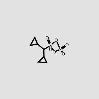 O=S1(=O)O[SH](=O)(C(C2CC2)C2CC2)O1